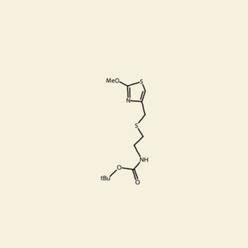 COc1nc(CSCCNC(=O)OC(C)(C)C)cs1